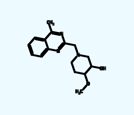 COC1CCN(Cc2nc(C)c3ccccc3n2)CC1O